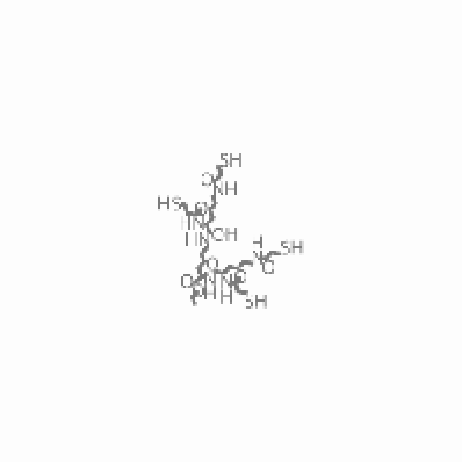 CCOC(=O)C(CCCCNC(O)C(CCCCNC(=O)CCS)NC(=O)CCS)NC(=O)C(CCCCNC(=O)CCS)NC(=O)CCS